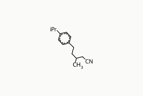 CC(CC#N)CCc1ccc(C(C)C)cc1